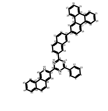 c1ccc(-c2nc(-c3ccc4ccc(-c5ccc6c7ccccc7c7ccccc7c6c5)cc4c3)nc(-c3cc4ccc5ccccc5c4cn3)n2)cc1